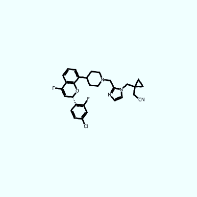 N#CCC1(Cn2ccnc2CN2CCC(c3cccc4c3O[C@H](c3ccc(Cl)cc3F)C=C4F)CC2)CC1